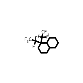 FC(F)(F)C(F)(F)C1(C(F)(F)C(F)(F)F)CCCC2CCCCC21